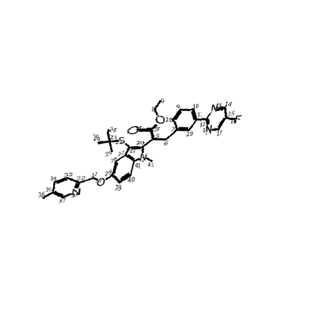 CCOC(=O)C(Cc1cccc(-c2ncc(F)cn2)c1)c1c(SC(C)(C)C)c2cc(OCc3ccc(C)cn3)ccc2n1C